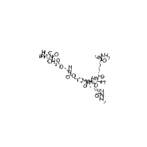 CC(C)C(C)N(C)C(=O)COCCOCCNC(=O)OCc1ccc(NC(=O)[C@H](CCCNC(N)=O)NC(=O)[C@@H](NC(=O)CCCCCC(=O)NN)C(C)C)cc1